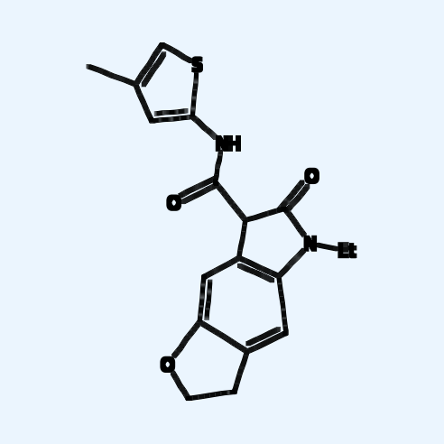 CCN1C(=O)C(C(=O)Nc2cc(C)cs2)c2cc3c(cc21)CCO3